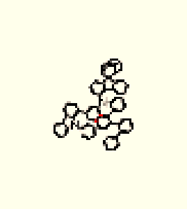 c1ccc(-c2ccccc2-c2ccccc2-c2ccccc2N(c2cccc(-c3cccc4c5ccccc5n(-c5ccccc5)c34)c2)c2cccc3c2-c2ccccc2C32C3CC4CC(C3)CC2C4)cc1